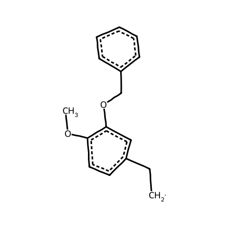 [CH2]Cc1ccc(OC)c(OCc2ccccc2)c1